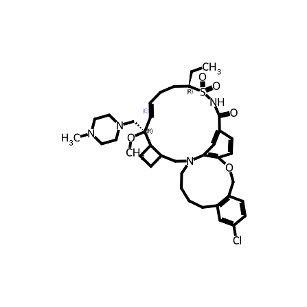 CC[C@@H]1CC/C=C/[C@](CN2CCN(C)CC2)(OC)C2CCC2CN2CCCCc3cc(Cl)ccc3COc3ccc(cc32)C(=O)NS1(=O)=O